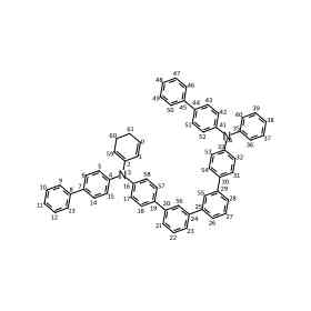 C1=CC(N(c2ccc(-c3ccccc3)cc2)c2ccc(-c3cccc(-c4cccc(-c5ccc(N(c6ccccc6)c6ccc(-c7ccccc7)cc6)cc5)c4)c3)cc2)=CCC1